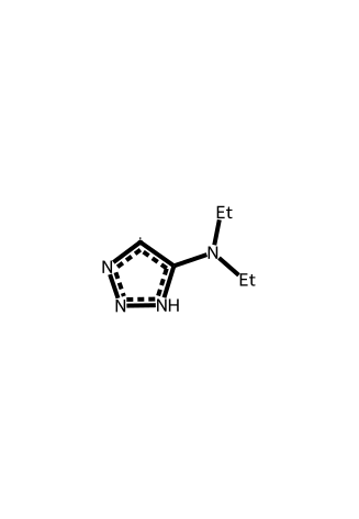 CCN(CC)c1[c]nn[nH]1